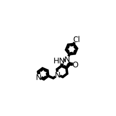 O=c1c2c([nH]n1-c1ccc(Cl)cc1)CN(Cc1cccnc1)CC2